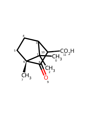 CC1(C)C2CC[C@@]1(C)C(=O)C2C(=O)O